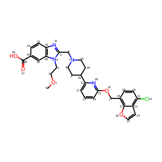 COCCn1c(CN2CCC(c3cccc(OCc4ccc(Cl)c5ccoc45)n3)CC2)nc2ccc(C(=O)O)cc21